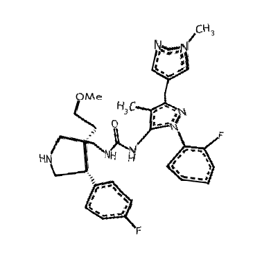 COCC[C@@]1(NC(=O)Nc2c(C)c(-c3cnn(C)c3)nn2-c2ccccc2F)CNC[C@H]1c1ccc(F)cc1